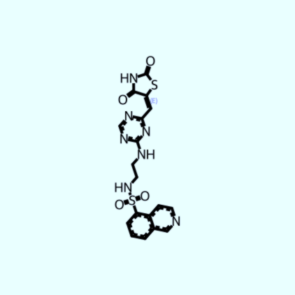 O=C1NC(=O)/C(=C\c2ncnc(NCCNS(=O)(=O)c3cccc4cnccc34)n2)S1